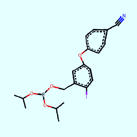 CC(C)OB(OCc1cc(Oc2ccc(C#N)cc2)ccc1I)OC(C)C